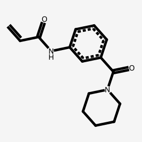 C=CC(=O)Nc1cccc(C(=O)N2CCCCC2)c1